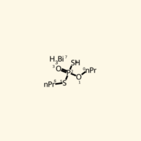 CCCOP(=O)(S)SCCC.[BiH3]